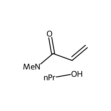 C=CC(=O)NC.CCCO